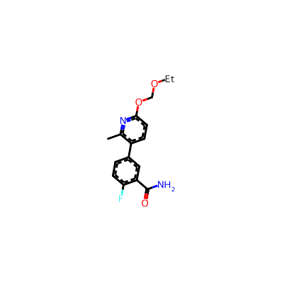 CCOCOc1ccc(-c2ccc(F)c(C(N)=O)c2)c(C)n1